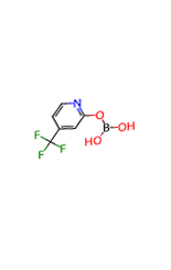 OB(O)Oc1cc(C(F)(F)F)ccn1